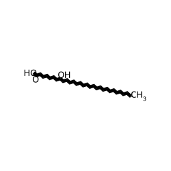 CCCCCCCCCCCCCCCCCCCCCCC(O)CCCCCCC(=O)O